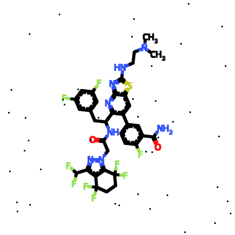 CN(C)CCNc1nc2nc(C(Cc3cc(F)cc(F)c3)NC(=O)Cn3nc(C(F)F)c4c3C(F)(F)CCC4(F)F)c(-c3ccc(F)c(C(N)=O)c3)cc2s1